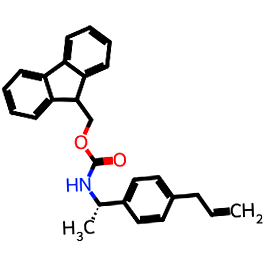 C=CCc1ccc([C@H](C)NC(=O)OCC2c3ccccc3-c3ccccc32)cc1